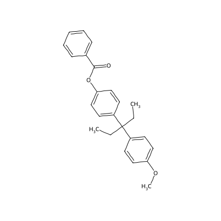 CCC(CC)(c1ccc(OC)cc1)c1ccc(OC(=O)c2ccccc2)cc1